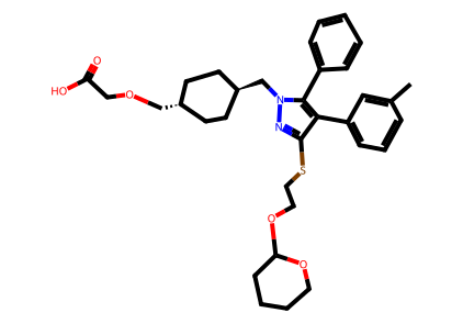 Cc1cccc(-c2c(SCCOC3CCCCO3)nn(C[C@H]3CC[C@H](COCC(=O)O)CC3)c2-c2ccccc2)c1